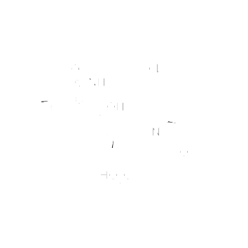 C[C@H](CC=C[C@H](O)[C@@H]1CC[C@H]1CN1C[C@@]2(CCCc3cc(Cl)ccc32)COc2ccc(C(=O)O)cc21)[C@H](C)S(N)(=O)=O